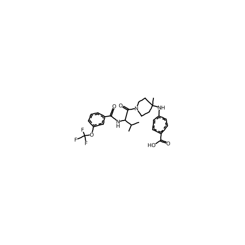 CC(C)C(NC(=O)c1cccc(OC(F)(F)F)c1)C(=O)N1CCC(C)(Nc2ccc(C(=O)O)cc2)CC1